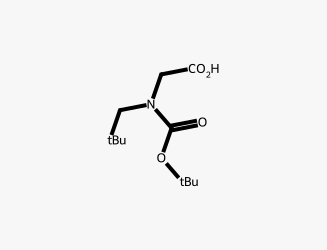 CC(C)(C)CN(CC(=O)O)C(=O)OC(C)(C)C